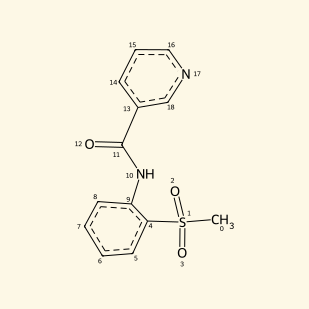 CS(=O)(=O)c1ccccc1NC(=O)c1cccnc1